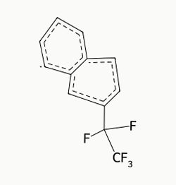 FC(F)(F)C(F)(F)c1ccc2ccc[c]c2c1